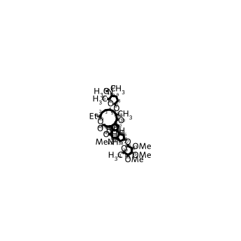 CC[C@H]1CCC[C@H](O[C@H]2CC[C@H](N(C)C)C(C)O2)[C@@H](C)C(=O)C2=C[C@H]3[C@@H]4C[C@H](O[C@@H]5OC(C)[C@H](OC)C(OC)C5OC)C[C@H]4C(NC)C(=O)[C@H]3[C@@H]2CC(=O)O1